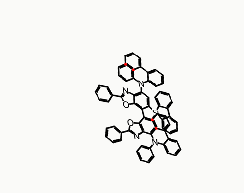 c1ccc(-c2nc3c(N(c4ccccc4)c4ccccc4-c4ccccc4)cc4c(c3o2)-c2c(cc(N(c3ccccc3)c3ccccc3-c3ccccc3)c3nc(-c5ccccc5)oc23)[Si]42c3ccccc3-c3ccccc32)cc1